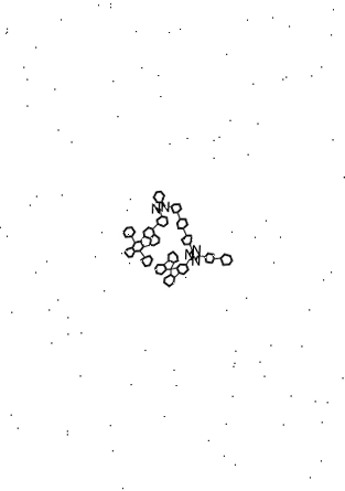 c1ccc(-c2ccc(-c3nc(-c4ccc(-c5ccc(-c6cccc(-n7c(-c8cccc(-c9ccc%10c%11c(cccc9%11)-c9c-%10c(-c%10ccccc%10)c%10ccccc%10c9-c9ccccc9)c8)nc8ccccc87)c6)cc5)cc4)nc(-c4ccc5c(c4)C4(c6ccccc6-c6ccccc64)c4ccccc4-5)n3)cc2)cc1